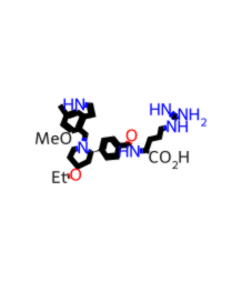 CCO[C@H]1CCN(Cc2c(OC)cc(C)c3[nH]ccc23)[C@H](c2ccc(C(=O)N[C@@H](CCCNC(=N)N)C(=O)O)cc2)C1